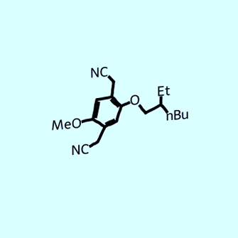 CCCCC(CC)COc1cc(CC#N)c(OC)cc1CC#N